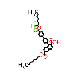 CCCCCCCCOC(=O)c1ccc2c(-c3ccc(-c4ccc(C(=O)OC(CCCCCC)C(F)(F)F)cc4)cc3)c(C(=O)O)ccc2c1